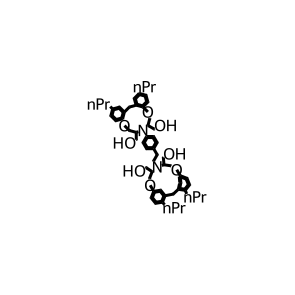 CCCc1ccc2c(c1)Cc1cc(CCC)ccc1OCC(CO)N(c1ccc(CCN3C(CO)COc4ccc(CCC)c(c4)Cc4cc(ccc4CCC)OCC3CO)cc1)C(CO)CO2